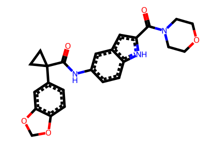 O=C(c1cc2cc(NC(=O)C3(c4ccc5c(c4)OCO5)CC3)ccc2[nH]1)N1CCOCC1